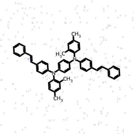 Cc1ccc(N(c2ccc(/C=C/c3ccccc3)cc2)c2ccc(N(c3ccc(/C=C/c4ccccc4)cc3)c3ccc(C)cc3C)cc2)c(C)c1